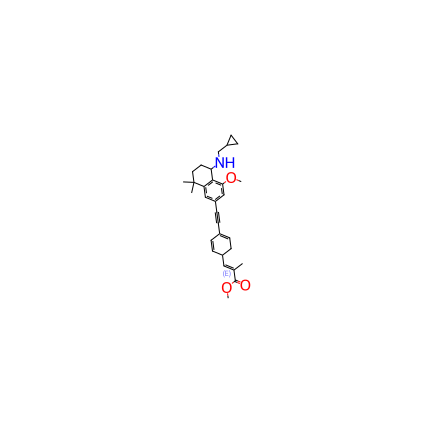 COC(=O)/C(C)=C/C1C=CC(C#Cc2cc(OC)c3c(c2)C(C)(C)CCC3NCC2CC2)=CC1